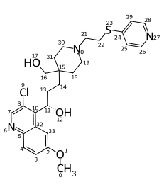 COc1ccc2ncc(Cl)c([C@@H](O)CCC3(CO)CCN(CCSc4ccncc4)CC3)c2c1